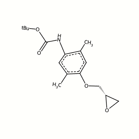 Cc1cc(OC[C@@H]2CO2)c(C)cc1NC(=O)OC(C)(C)C